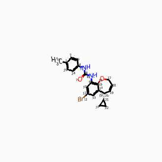 Cc1ccc(NC(=O)Nc2cc(Br)cc3c2OCC=C[C@@H]3C2CC2)cc1